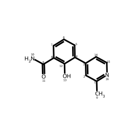 Cc1cc(-c2cccc(C(N)=O)c2O)ccn1